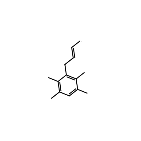 [CH2]C=CCc1c(C)c(C)cc(C)c1C